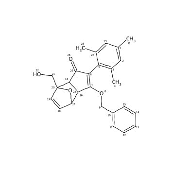 Cc1cc(C)c(C2=C(OCc3ccccc3)C3C4C=CC(CO)(O4)C3C2=O)c(C)c1